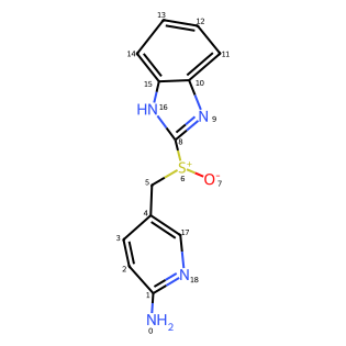 Nc1ccc(C[S+]([O-])c2nc3ccccc3[nH]2)cn1